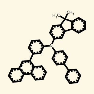 CC1(C)c2ccccc2-c2cc(N(c3ccc(-c4ccccc4)cc3)c3cccc(-c4cc5ccccc5c5ccccc45)c3)ccc21